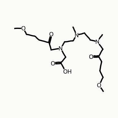 COCCCC(=O)CN(C)CCN(C)CCN(CC(=O)O)CC(=O)CCCOC